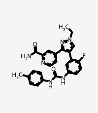 CCn1cc(-c2cc(NC(=O)Nc3ccc(C)cc3)ccc2F)c(-c2ccnc(C(N)=O)c2)n1